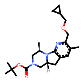 Cc1cc2c(nc1COCC1CC1)N1[C@H](C2)CN(C(=O)OC(C)(C)C)C[C@H]1C